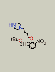 CC(C)(C)OC=O.O=[N+]([O-])c1ccccc1OCCCCN1CCNCC1